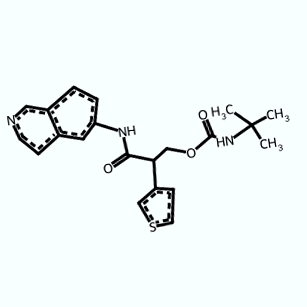 CC(C)(C)NC(=O)OCC(C(=O)Nc1ccc2cnccc2c1)c1ccsc1